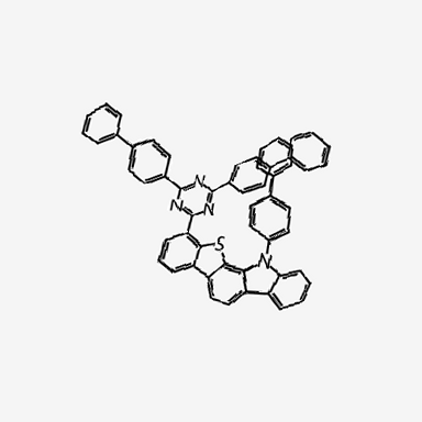 c1ccc(-c2ccc(-c3nc(-c4ccc(-c5ccccc5)cc4)nc(-c4cccc5c4sc4c5ccc5c6ccccc6n(-c6ccc(-c7ccccc7)cc6)c54)n3)cc2)cc1